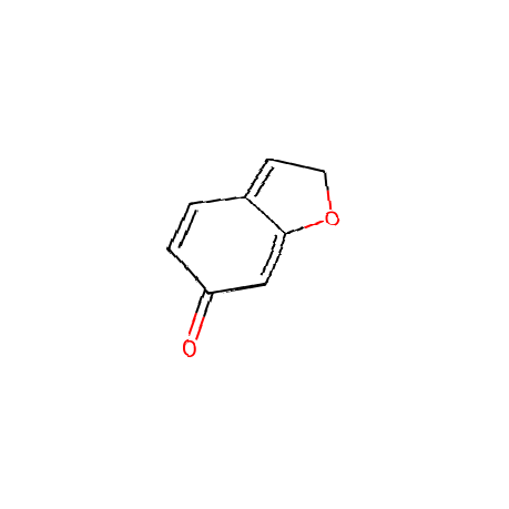 O=C1C=CC2=CCOC2=C1